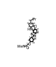 CNC(=O)COc1ccc(-c2nc3c(NC4CCN(CC(C)C)CC4)c(Cl)cnc3[nH]2)cc1